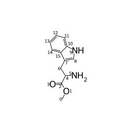 COC(=O)C(N)Cc1c[nH]c2ccccc12